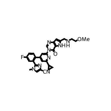 COCCNCc1cc2ncn(-c3cc(-c4ccc(F)cc4-c4nc(C#N)cn4C)cc(C4CC4)n3)c(=O)c2[nH]1